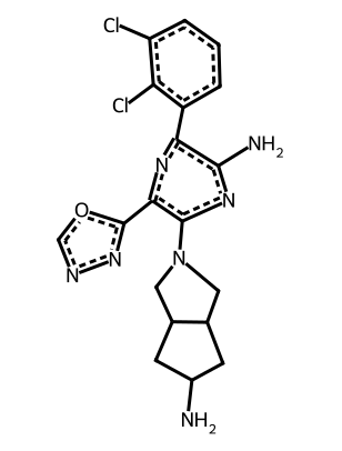 Nc1nc(N2CC3CC(N)CC3C2)c(-c2nnco2)nc1-c1cccc(Cl)c1Cl